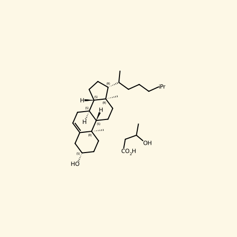 CC(C)CCCC(C)[C@H]1CC[C@H]2[C@@H]3CC=C4C[C@@H](O)CC[C@]4(C)[C@H]3CC[C@]12C.CC(O)CC(=O)O